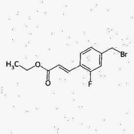 CCOC(=O)C=Cc1ccc(CBr)cc1F